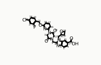 O=C(O)c1ccc2nc(CN3CC(=O)N(c4cccc(OCc5ccc(Cl)cc5F)n4)CC3=O)n(CC3CCO3)c2c1